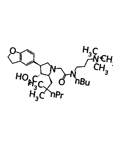 CCCCN(CCC[N+](C)(C)C)C(=O)CN1C[C@H](c2ccc3c(c2)CCO3)[C@@H](C(=O)O)[C@@H]1CC(C)(C)CCC